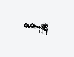 O=S1(=O)N=C(NCCCOc2cccc(CN3CCCCC3)c2)c2cc(F)ccc21